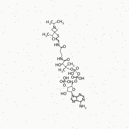 CC(C)N1CC(SCCNC(=O)CCNC(=O)[C@H](O)C(C)(C)COP(=O)(O)OP(=O)(O)OC[C@H]2O[C@@H](n3cnc4c(N)ncnc43)[C@H](O)[C@@H]2OP(=O)(O)O)(C(C)C)C1